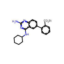 CCOC(=O)c1ccccc1-c1ccc2nc(N)nc(NC3CCCCC3)c2c1